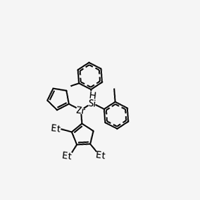 CCC1=C(CC)C(CC)=[C]([Zr]([C]2=CC=CC2)[SiH](c2ccccc2C)c2ccccc2C)C1